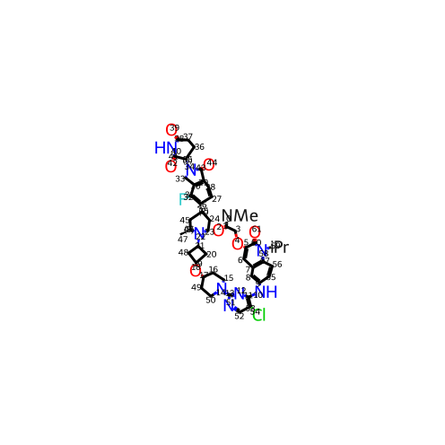 CNC(=O)COc1cc2cc(Nc3nc(N4CCC(O[C@H]5C[C@H](N6CC[C@@H](c7ccc8c(c7F)CN([C@H]7CCC(=O)NC7=O)C8=O)C[C@@H]6C)C5)CC4)ncc3Cl)ccc2n(C(C)C)c1=O